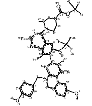 COc1ccc(CN(Cc2ccc(OC)cc2)c2cc(C)c(I)c(-c3c(SC(F)(F)F)cc4c(N5CCN(C(=O)OC(C)(C)C)C[C@@H]5C)nc(F)nc4c3F)n2)cc1